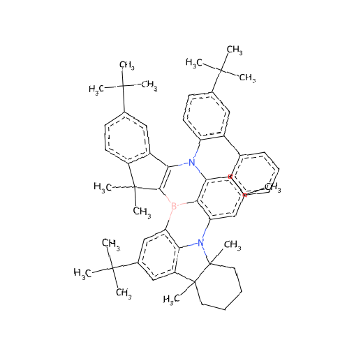 Cc1cc2c3c(c1)N1c4c(cc(C(C)(C)C)cc4C4(C)CCCCC14C)B3C1=C(c3cc(C(C)(C)C)ccc3C1(C)C)N2c1ccc(C(C)(C)C)cc1-c1ccccc1